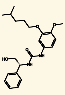 COc1ccc(NC(=O)N[C@@H](CO)c2ccccc2)cc1OCCCC(C)C